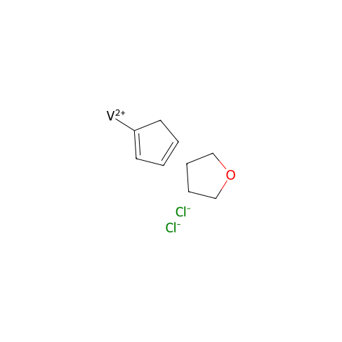 C1CCOC1.[Cl-].[Cl-].[V+2][C]1=CC=CC1